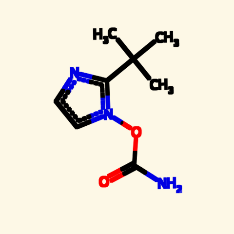 CC(C)(C)c1nccn1OC(N)=O